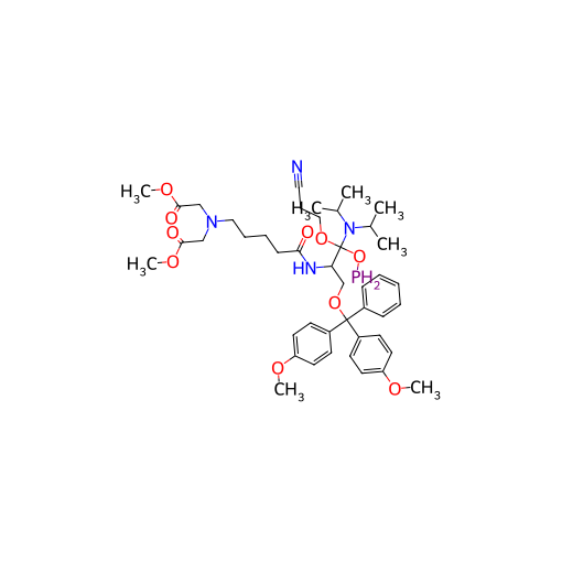 COC(=O)CN(CCCCC(=O)NC(COC(c1ccccc1)(c1ccc(OC)cc1)c1ccc(OC)cc1)C(OP)(OCCC#N)N(C(C)C)C(C)C)CC(=O)OC